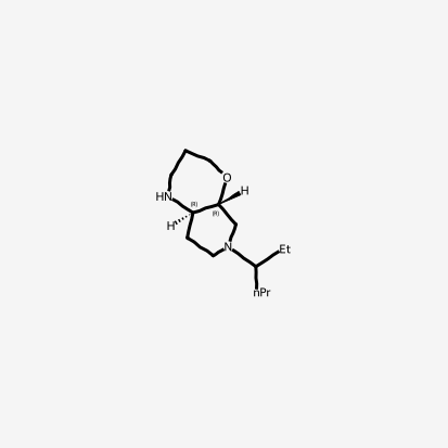 CCCC(CC)N1CC[C@H]2NCCCO[C@@H]2C1